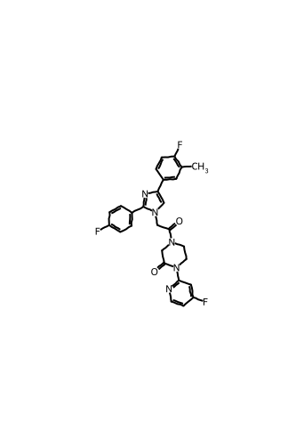 Cc1cc(-c2cn(CC(=O)N3CCN(c4cc(F)ccn4)C(=O)C3)c(-c3ccc(F)cc3)n2)ccc1F